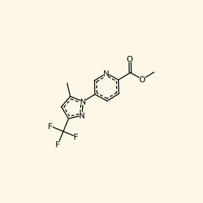 COC(=O)c1ccc(-n2nc(C(F)(F)F)cc2C)cn1